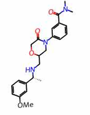 COc1cccc([C@@H](C)NCC2CN(c3cccc(C(=O)N(C)C)c3)C(=O)CO2)c1